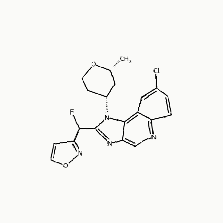 C[C@@H]1C[C@H](n2c(C(F)c3ccon3)nc3cnc4ccc(Cl)cc4c32)CCO1